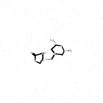 C[C@@H]1CN(C[C@@H]2COC(=O)N2)C[C@H](C)O1